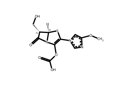 COc1cn(C2=C(OC(=O)O)N3C(=O)[C@H](CO)[C@H]3S2)cn1